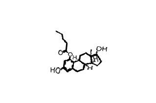 CCCCC(=O)Oc1cc(O)cc2c1[C@H]1CC[C@]3(C)[C@@H](O)CC[C@H]3[C@@H]1CC2